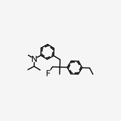 CCc1ccc(C(C)(CF)Cc2cccc(N(C)C(C)C)c2)cc1